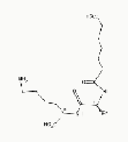 CCCCCCCCCCCCCCCC(=O)N[C@H](C(=O)N[C@@H](CCCCN)C(=O)O)C(C)C